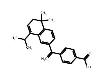 C=C(c1ccc(C(=O)O)cc1)c1ccc2c(c1)C(C(C)C)=CCC2(C)C